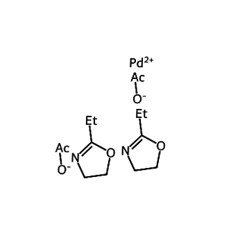 CC(=O)[O-].CC(=O)[O-].CCC1=NCCO1.CCC1=NCCO1.[Pd+2]